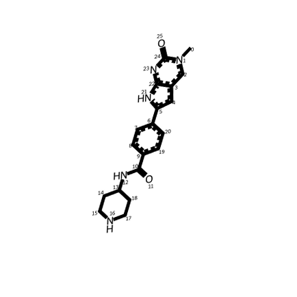 Cn1cc2cc(-c3ccc(C(=O)NC4CCNCC4)cc3)[nH]c2nc1=O